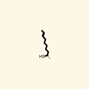 CC=CCCCCC[C@H](C)S